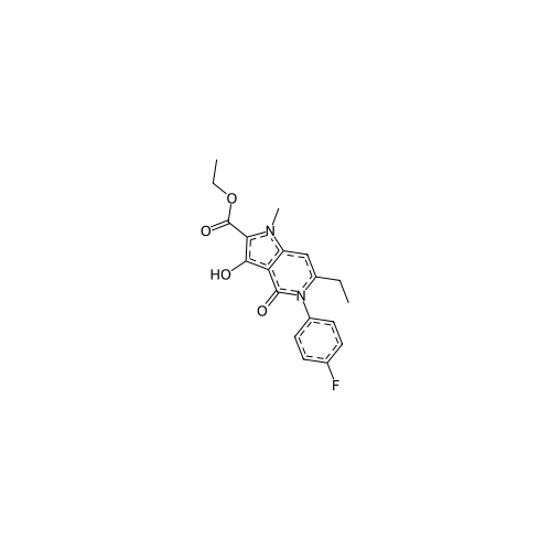 CCOC(=O)c1c(O)c2c(=O)n(-c3ccc(F)cc3)c(CC)cc2n1C